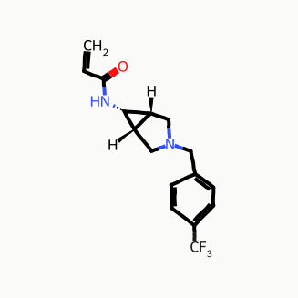 C=CC(=O)N[C@@H]1[C@@H]2CN(Cc3ccc(C(F)(F)F)cc3)C[C@@H]21